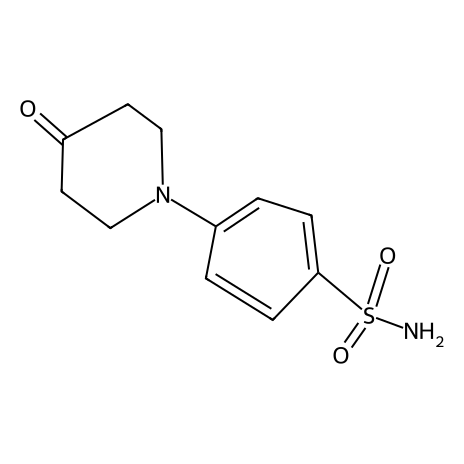 NS(=O)(=O)c1ccc(N2CCC(=O)CC2)cc1